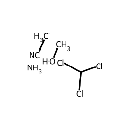 CC#N.CO.ClC(Cl)Cl.N